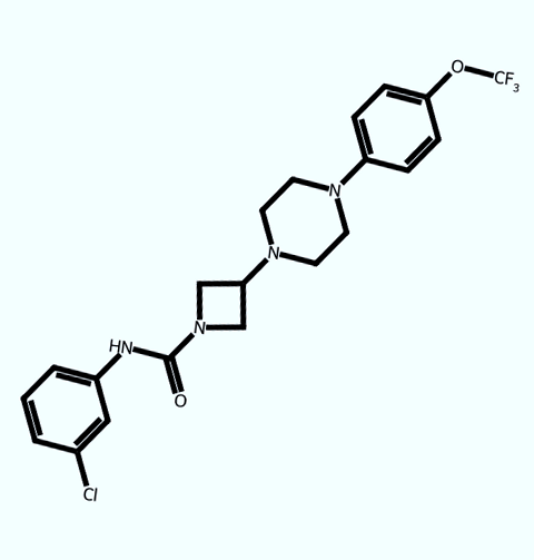 O=C(Nc1cccc(Cl)c1)N1CC(N2CCN(c3ccc(OC(F)(F)F)cc3)CC2)C1